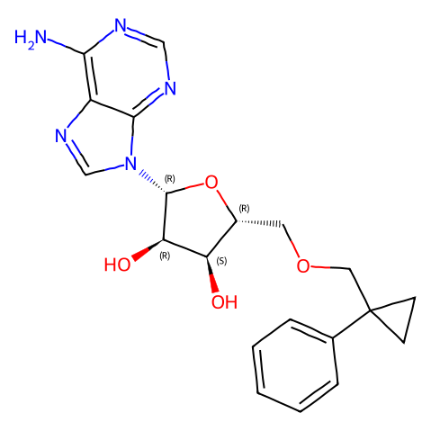 Nc1ncnc2c1ncn2[C@@H]1O[C@H](COCC2(c3ccccc3)CC2)[C@@H](O)[C@H]1O